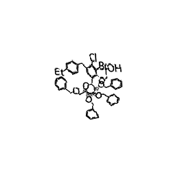 CCc1ccc(Cc2cc(C3O[C@H](COCc4ccccc4)[C@@H](OCc4ccccc4)[C@H](OCc4ccccc4)[C@H]3OCc3ccccc3)c(OCCO)c(Br)c2Cl)cc1